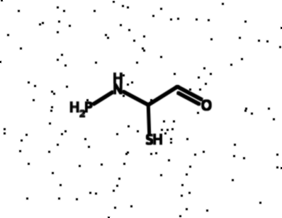 O=CC(S)NP